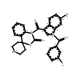 O=C1OC2(CCNCC2)c2ccccc2N1C(=O)c1cn(C(=O)c2cccc(F)c2)c2cc(Cl)ccc12